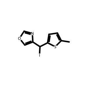 Cc1ccc(C(I)c2cocn2)s1